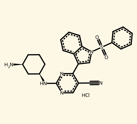 Cl.N#Cc1cnc(N[C@@H]2CCC[C@H](N)C2)nc1-c1cn(S(=O)(=O)c2ccccc2)c2ccccc12